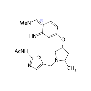 CN/C=C1/C=CC(OC2CC(C)N(Cc3cnc(NC(C)=O)s3)C2)=CC1=N